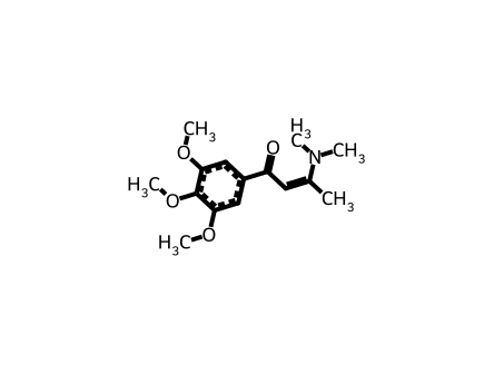 COc1cc(C(=O)/C=C(/C)N(C)C)cc(OC)c1OC